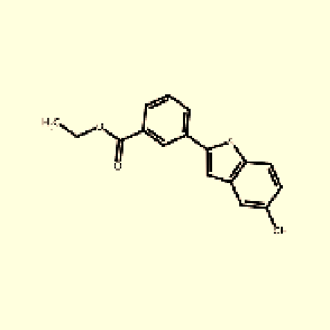 CCOC(=O)c1cccc(-c2cc3cc(O)ccc3s2)c1